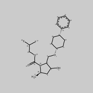 C[C@@H]1CC(O)C(CO[C@H]2CC[C@@H](c3ccccc3)CC2)N1C(=O)OCC(F)F